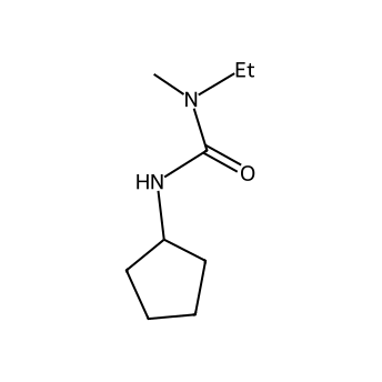 [CH2]CN(C)C(=O)NC1CCCC1